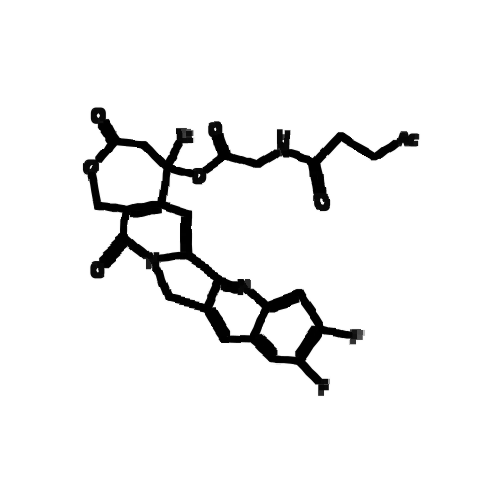 CCC1(OC(=O)CNC(=O)CCC(C)=O)CC(=O)OCc2c1cc1n(c2=O)Cc2cc3cc(F)c(F)cc3nc2-1